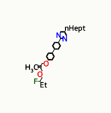 CCCCCCCc1cnc(-c2ccc(-c3ccc(OC[C@H](C)COCC(F)CC)cc3)cc2)nc1